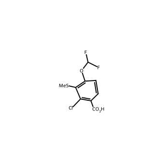 CSc1c(OC(F)F)ccc(C(=O)O)c1Cl